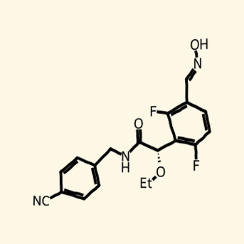 CCO[C@H](C(=O)NCc1ccc(C#N)cc1)c1c(F)ccc(C=NO)c1F